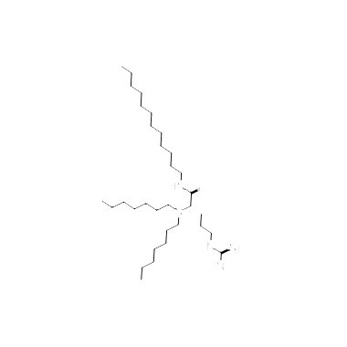 CCCCCCCCCCCCNC(=O)[C@H](CCCNC(=N)N)N(CCCCCCC)CCCCCCC